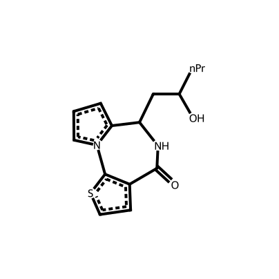 CCCC(O)CC1NC(=O)c2ccsc2-n2cccc21